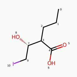 CCCC(C(=O)O)[C@@H](O)CI